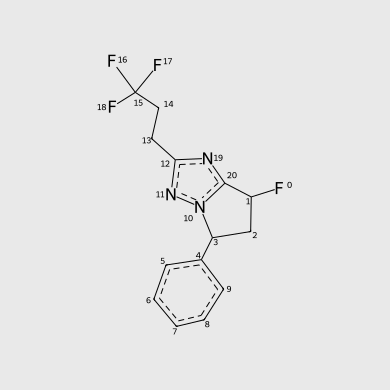 FC1CC(c2ccccc2)n2nc(CCC(F)(F)F)nc21